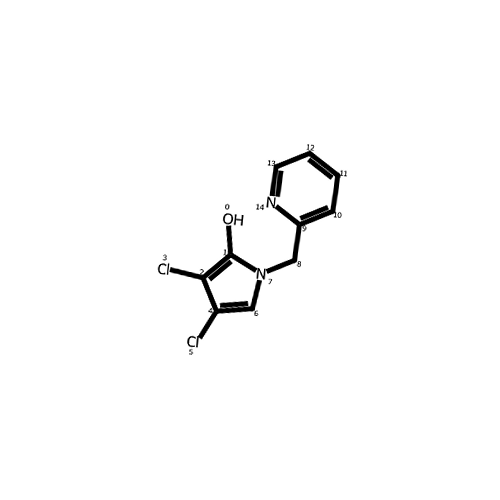 Oc1c(Cl)c(Cl)cn1Cc1ccccn1